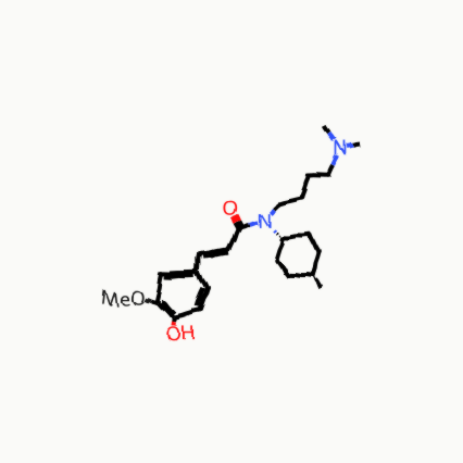 COc1cc(/C=C/C(=O)N(CCCCN(C)C)[C@H]2CC[C@H](C)CC2)ccc1O